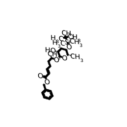 C[C@H](CC/C=C/C(=O)OCc1ccccc1)O[C@@H]1O[C@@H](C)C(O[Si](C)(C)C(C)(C)C)C[C@H]1O